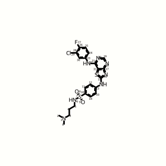 CN(C)CCCNS(=O)(=O)c1ccc(Nc2nc3ncnc(Nc4ccc(F)c(Cl)c4)c3s2)cc1